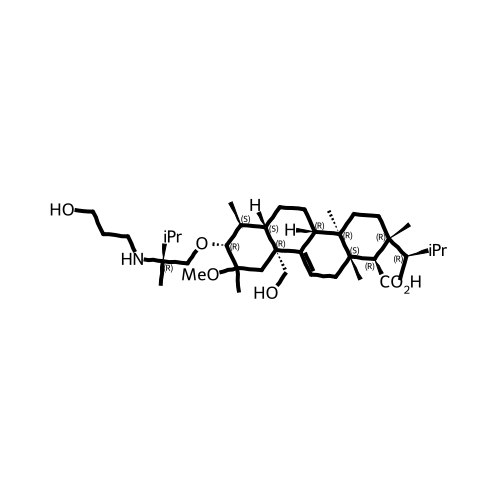 COC1(C)C[C@]2(CO)C3=CC[C@@]4(C)[C@H](C(=O)O)[C@@](C)([C@H](C)C(C)C)CC[C@]4(C)[C@H]3CC[C@H]2[C@H](C)[C@H]1OC[C@](C)(NCCCO)C(C)C